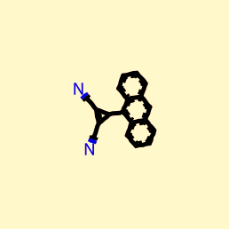 N#CC1=C(C#N)C1c1c2ccccc2cc2ccccc12